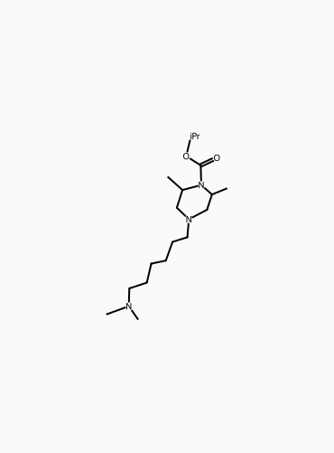 CC(C)OC(=O)N1C(C)CN(CCCCCCN(C)C)CC1C